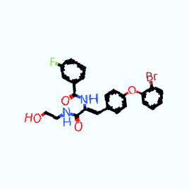 O=C(NCCO)C(=Cc1ccc(Oc2ccccc2Br)cc1)NC(=O)c1cccc(F)c1